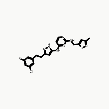 Cc1cc(CNc2nccc(Nc3cc(CCc4cc(F)cc(Cl)c4)n[nH]3)n2)on1